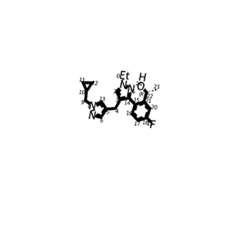 CCn1cc(Cc2cnn(CC3CC3)c2)c(-c2ccc(F)cc2[C@@H](C)O)n1